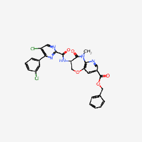 CN1C(=O)C(NC(=O)c2ncc(Cl)c(-c3cccc(Cl)c3)n2)COc2cc(C(=O)OCc3ccccc3)cnc21